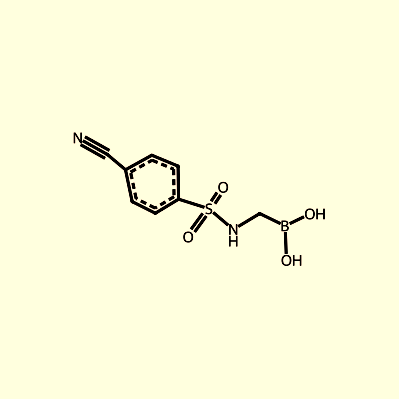 N#Cc1ccc(S(=O)(=O)NCB(O)O)cc1